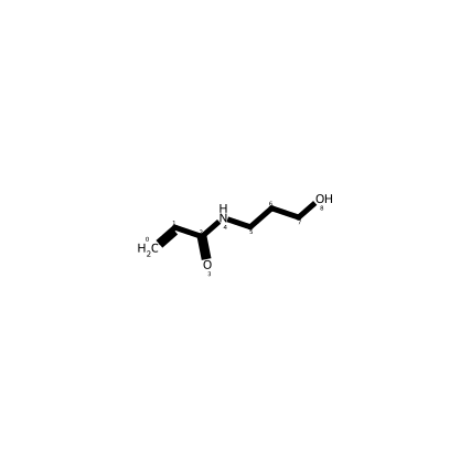 C=CC(=O)NCCCO